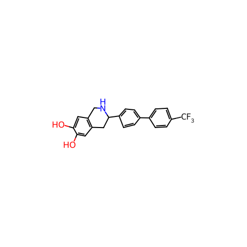 Oc1cc2c(cc1O)CC(c1ccc(-c3ccc(C(F)(F)F)cc3)cc1)NC2